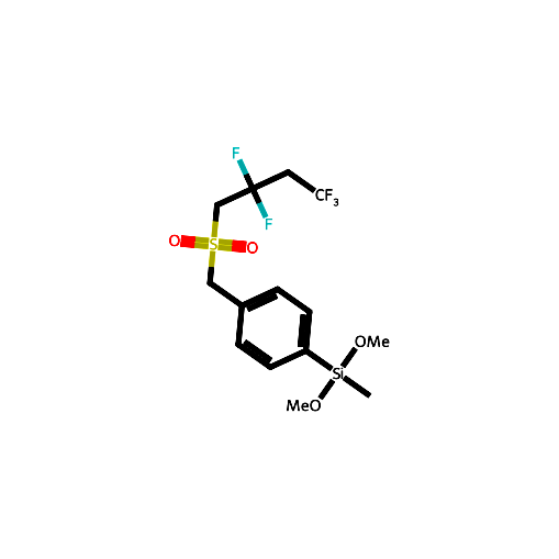 CO[Si](C)(OC)c1ccc(CS(=O)(=O)CC(F)(F)CC(F)(F)F)cc1